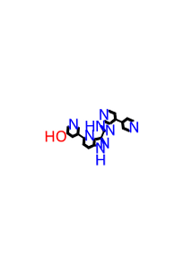 Oc1cncc(-c2ccc3[nH]nc(-c4nc5c(-c6ccncc6)ccnc5[nH]4)c3n2)c1